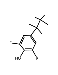 CC(C)(C)C(C)(C)c1cc(F)c(O)c(F)c1